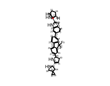 FC1(F)c2cc(-c3ccc4nc([C@H]5N[C@@H]6CC[C@H]5C6)[nH]c4c3)ccc2-c2ccc(C3CC=C([C@@H]4CC5(CC5)CN4)N3)cc21